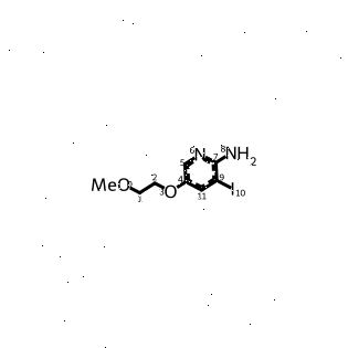 COCCOc1cnc(N)c(I)c1